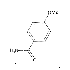 COc1[c]cc(C(N)=O)cc1